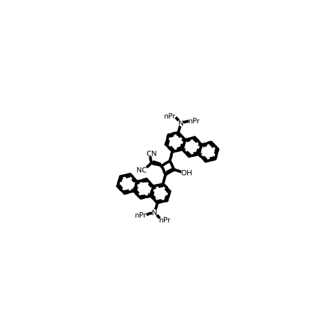 CCCN(CCC)c1ccc(C2=C(O)C(c3ccc(N(CCC)CCC)c4cc5ccccc5cc34)C2=C(C#N)C#N)c2cc3ccccc3cc12